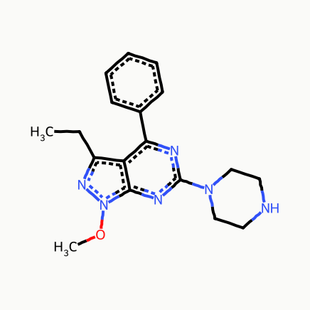 CCc1nn(OC)c2nc(N3CCNCC3)nc(-c3ccccc3)c12